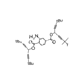 CC(C)(C)C#CC(C#CC(C)(C)I)OC(=O)c1ccc(C(=O)OC(C#CC(C)(C)C)C#CC(C)(C)C)c(N)c1